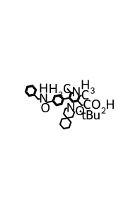 Cc1nc(C)c([C@H](OC(C)(C)C)C(=O)O)c(N2CCC3(CCCCC3)CC2)c1-c1ccc(C(=O)NCc2ccccc2)cc1